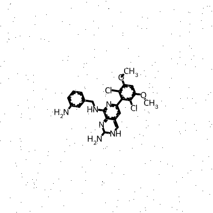 COc1cc(OC)c(Cl)c(-c2cc3c(c(NCc4cccc(N)c4)n2)=NC(N)NC=3)c1Cl